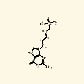 Nc1nc2c(c(=O)[nH]1)NCN2OCCOCP(=O)(O)O